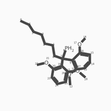 CCCCCCCC(P)(c1c(OC)cccc1OC)c1c(OC)cccc1OC